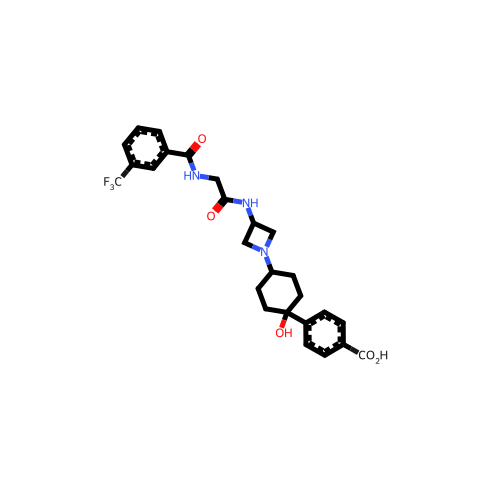 O=C(CNC(=O)c1cccc(C(F)(F)F)c1)NC1CN(C2CCC(O)(c3ccc(C(=O)O)cc3)CC2)C1